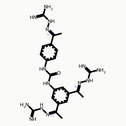 C/C(=N/NC(=N)N)c1cc(NC(=O)Nc2ccc(/C(C)=N/NC(=N)N)cc2)cc(/C(C)=N/NC(=N)N)c1